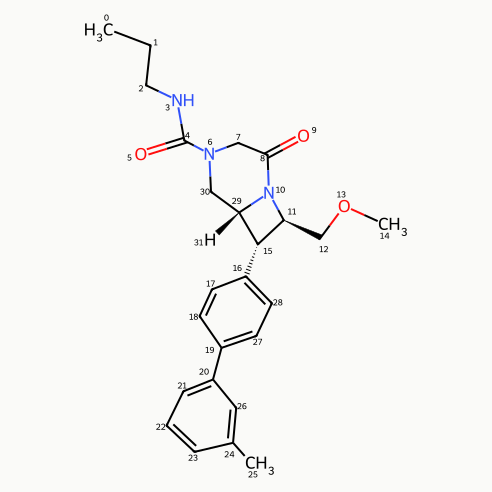 CCCNC(=O)N1CC(=O)N2[C@@H](COC)[C@H](c3ccc(-c4cccc(C)c4)cc3)[C@@H]2C1